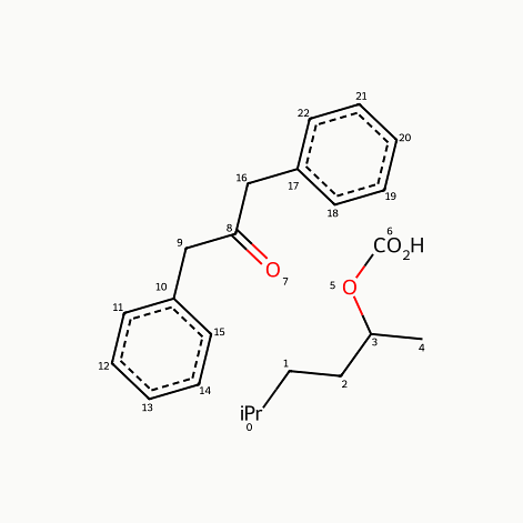 CC(C)CCC(C)OC(=O)O.O=C(Cc1ccccc1)Cc1ccccc1